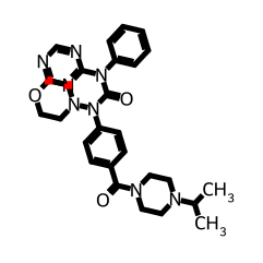 CC(C)N1CCN(C(=O)c2ccc(N(C(=O)N(c3ccccc3)c3ncncn3)N3CCOCC3)cc2)CC1